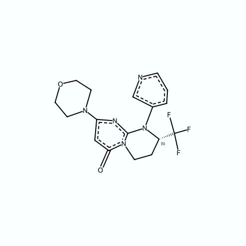 O=c1cc(N2CCOCC2)nc2n1CC[C@@H](C(F)(F)F)N2c1cccnc1